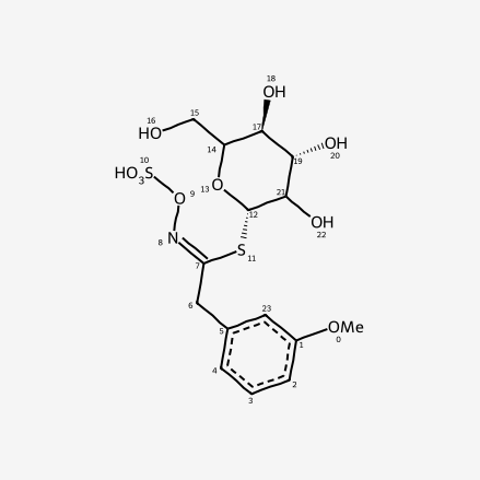 COc1cccc(CC(=NOS(=O)(=O)O)S[C@@H]2OC(CO)[C@@H](O)[C@H](O)C2O)c1